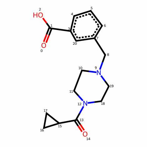 O=C(O)c1cccc(CN2CCN(C(=O)C3CC3)CC2)c1